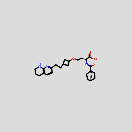 O=C(O)[C@H](CCOC1CC(CCc2ccc3c(n2)NCCC3)C1)NC(=O)C12CCC(CC1)CC2